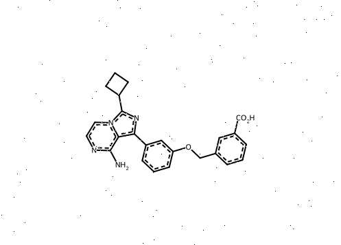 Nc1nccn2c(C3CCC3)nc(-c3cccc(OCc4cccc(C(=O)O)c4)c3)c12